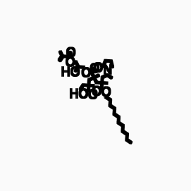 C=C(C)C(=O)OCC(O)COC(=O)C(C)(CC(C)(CC)C(=O)O)CC(C)(CC(C)N1CCCC1=O)C(=O)OCCCCCCCCCCCC